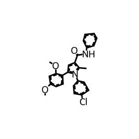 COc1ccc(-c2cc(C(=O)Nc3ccccc3)c(C)n2-c2ccc(Cl)cc2)c(OC)c1